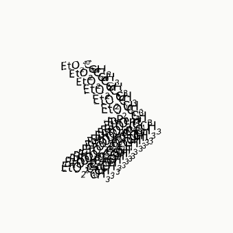 CCCCCC.CCOC(C)=O.CCOC(C)=O.CCOC(C)=O.CCOC(C)=O.CCOC(C)=O.CCOC(C)=O.CCOC(C)=O.CCOC(C)=O.CCOC(C)=O.CCOC(C)=O.CCOC(C)=O.CCOC(C)=O.CCOC(C)=O.CCOC(C)=O.CCOC(C)=O.CCOC(C)=O.CCOC(C)=O.CCOC(C)=O.CCOC(C)=O.CCOC(C)=O